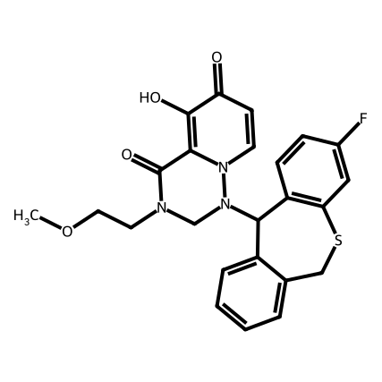 COCCN1CN(C2c3ccccc3CSc3cc(F)ccc32)n2ccc(=O)c(O)c2C1=O